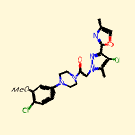 COc1cc(N2CCN(C(=O)Cn3nc(-c4nc(C)co4)c(Cl)c3C)CC2)ccc1Cl